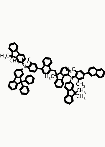 Cc1cc(-c2ccc(CC3(C)c4ccccc4-c4c(N(c5ccc6c(c5)C(C)(C)c5ccccc5-6)c5c(C)cc(-c6ccc7ccccc7c6)cc5C)cccc43)c3ccccc23)ccc1N(c1ccc2c(c1)C(C)(C)c1ccccc1-2)c1ccc2c(c1)C(c1ccccc1)(c1ccccc1)c1ccccc1-2